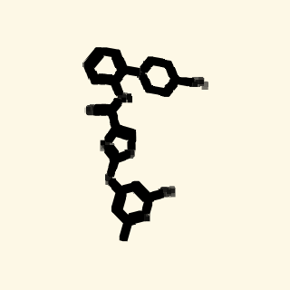 Cc1cc(Sc2nc(C(=O)Nc3ccccc3N3CCC(N)CC3)cs2)cc(O)n1